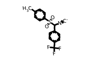 [C-]#[N+]C(c1ccc(C(F)(F)F)cc1)S(=O)(=O)c1ccc(C)cc1